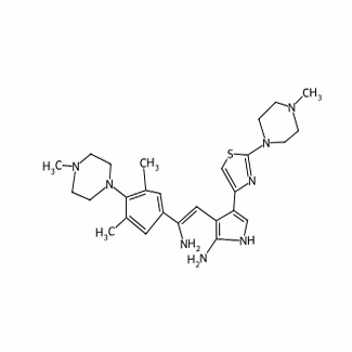 Cc1cc(/C(N)=C/c2c(-c3csc(N4CCN(C)CC4)n3)c[nH]c2N)cc(C)c1N1CCN(C)CC1